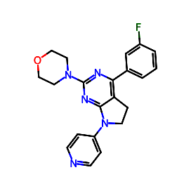 Fc1cccc(-c2nc(N3CCOCC3)nc3c2CCN3c2ccncc2)c1